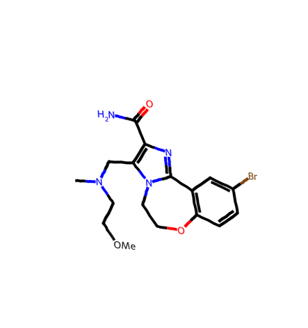 COCCN(C)Cc1c(C(N)=O)nc2n1CCOc1ccc(Br)cc1-2